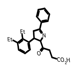 CCc1cccc(C2CC(c3ccccc3)=NC2C(=O)CCC(=O)O)c1CC